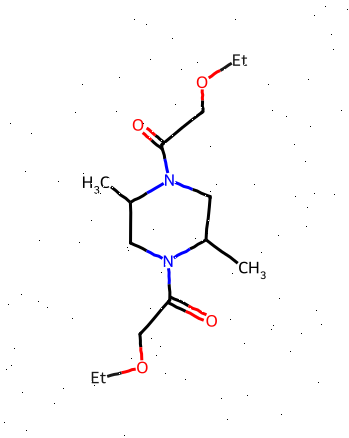 CCOCC(=O)N1CC(C)N(C(=O)COCC)CC1C